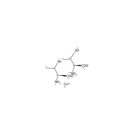 CC(S)[C@H](N)C(=O)[O-].CC(S)[C@H](N)C(=O)[O-].[Cu+2]